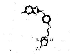 CC(=O)N1C[C@H]2C[C@@H]1CN2CCOc1ccc(Oc2nc3ccc(C)cc3s2)cc1